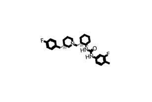 Cc1ccc(NC(=O)N[C@@H]2CCCC[C@H]2CN2CCC[C@@H](Cc3ccc(F)cc3)C2)cc1F